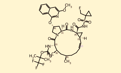 COc1cc2ccccc2c(O[C@@H]2C[C@H]3C(=O)N[C@]4(C(=O)NS(=O)(=O)C5(CF)CC5)C[C@H]4/C=C\CC[C@@H](C)C[C@@H](C)[C@H](NC(=O)OC(C)(C)C(F)(F)F)C(=O)N3C2)n1